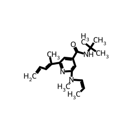 C=C/C=C(\C)c1cc(C(=O)NC(C)(C)C)cc(N(C)/C=C\C)n1